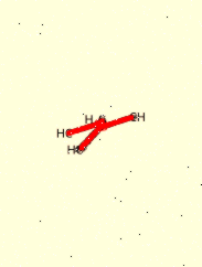 C#CC#CC#CC#CC#CC#CC#CC#CC#CC#CC#CC#CC#CC#COC(=O)CC(CC(=O)OC#CC#CC#CC#CC#CC#CC#CC#CC#CC#CC#CC#CC#CC#C)(OC(=O)CCCC)C(=O)OC#CC#CC#CC#CC#CC#CC#CC#CC#CC#CC#CC#CC#CC#C